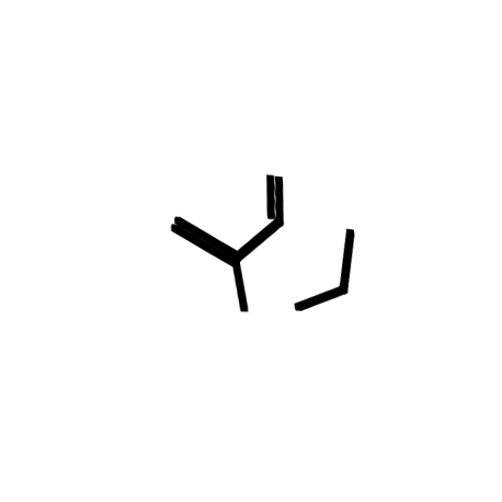 C=CC(=C)C.CCC